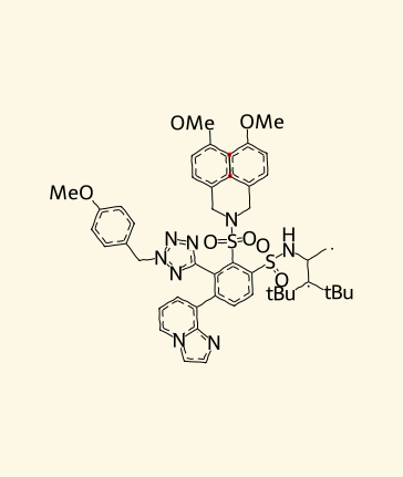 [CH2]C(NS(=O)(=O)c1ccc(-c2cccn3ccnc23)c(-c2nnn(Cc3ccc(OC)cc3)n2)c1S(=O)(=O)N(Cc1ccc(OC)cc1)Cc1ccc(OC)cc1)[C](C(C)(C)C)C(C)(C)C